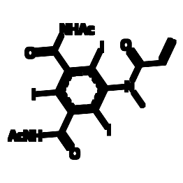 C=CC(=O)N(C)c1c(I)c(C(=O)NC(C)=O)c(I)c(C(=O)NC(C)=O)c1I